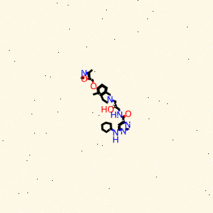 Cc1ncoc1COc1ccc2c(c1C)CCN(C[C@@H](O)CNC(=O)c1cc(NC3CCCCC3)ncn1)C2